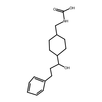 O=C(O)NCC1CCC(C(O)CCc2ccccc2)CC1